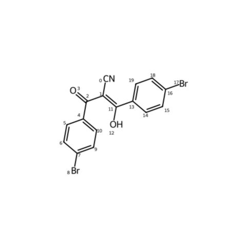 N#CC(C(=O)c1ccc(Br)cc1)=C(O)c1ccc(Br)cc1